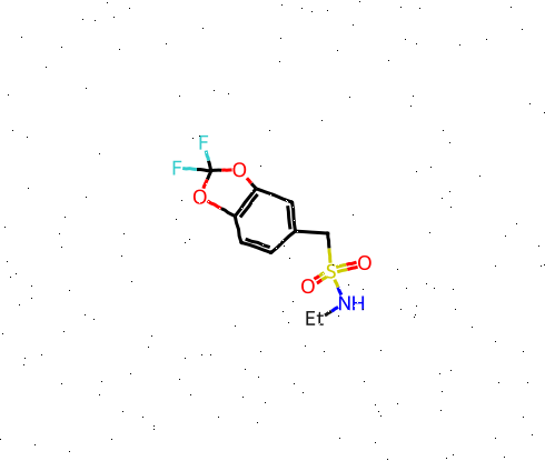 CCNS(=O)(=O)Cc1ccc2c(c1)OC(F)(F)O2